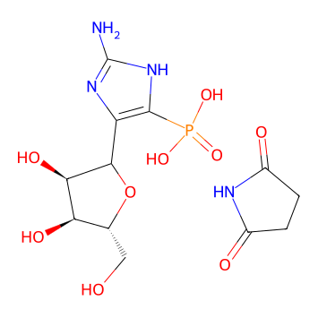 Nc1nc(C2O[C@H](CO)[C@@H](O)[C@H]2O)c(P(=O)(O)O)[nH]1.O=C1CCC(=O)N1